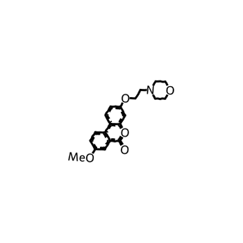 COc1ccc2c(c1)c(=O)oc1cc(OCCN3CCOCC3)ccc12